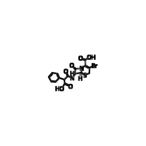 O=C(O)C1=C(Br)CS[C@H]2C(NC(=O)C(C(=O)O)c3ccccc3)C(=O)N12